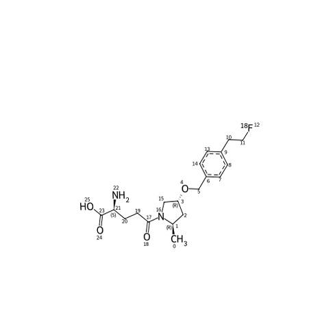 C[C@@H]1C[C@@H](OCc2ccc(CC[18F])cc2)CN1C(=O)CC[C@H](N)C(=O)O